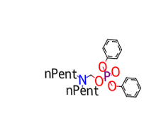 CCCCCN(CCCCC)COP(=O)(Oc1ccccc1)Oc1ccccc1